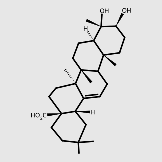 CC1(C)CC[C@]2(C(=O)O)CC[C@]3(C)C(=CCC4[C@@]5(C)CC[C@H](O)[C@@](C)(O)[C@@H]5CC[C@]43C)[C@@H]2C1